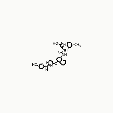 Cc1ccc(-n2nc(O)cc2NC(=O)Nc2ccc(Oc3ccnc(Nc4ccc(O)cc4)n3)c3ccccc23)cc1